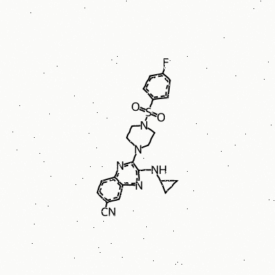 N#Cc1ccc2nc(N3CCN(S(=O)(=O)c4ccc(F)cc4)CC3)c(NC3CC3)nc2c1